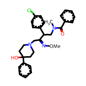 CON=C(CN1CCC(O)(c2ccccc2)CC1)C(CN(C)C(=O)c1ccccc1)c1ccc(Cl)cc1